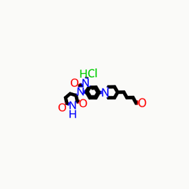 Cl.Cn1c(=O)n(C2CCC(=O)NC2=O)c2ccc(N3CCC(CCCC=O)CC3)cc21